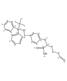 CC(C)(C)[Si](OCc1ccc(OC(CCCC=O)C(=O)O)cc1)(c1ccccc1)c1ccccc1